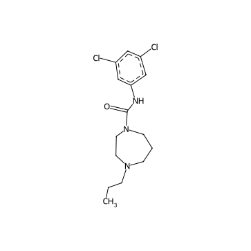 CCCN1CCCN(C(=O)Nc2cc(Cl)cc(Cl)c2)CC1